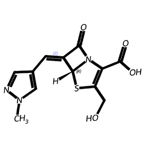 Cn1cc(/C=C2/C(=O)N3C(C(=O)O)=C(CO)S[C@H]23)cn1